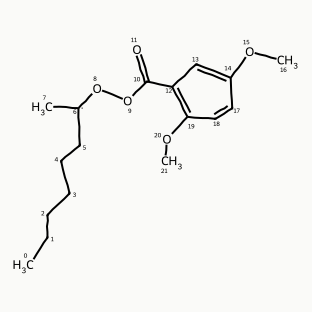 CCCCCC[C](C)OOC(=O)c1cc(OC)ccc1OC